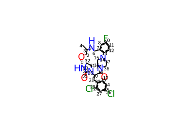 COCC(C)NCc1cc(F)ccc1N1CCN(C(=O)C(Cc2ccc(Cl)cc2Cl)N2CCNC2=O)CC1